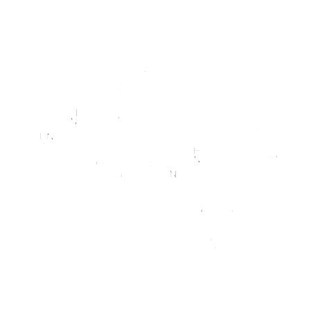 NNC(=O)C1CCC=CC1C(=O)N(CC1CO1)NCC1CO1